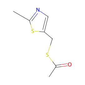 CC(=O)SCc1cnc(C)s1